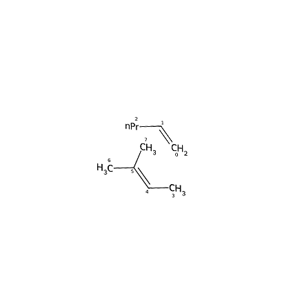 C=CCCC.CC=C(C)C